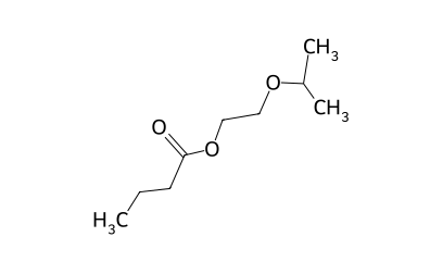 CCCC(=O)OCCOC(C)C